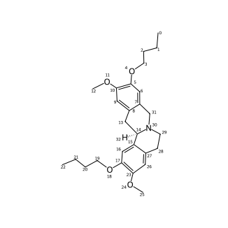 CCCCOc1cc2c(cc1OC)C[C@@H]1c3cc(OCCCC)c(OC)cc3CCN1C2